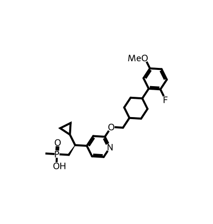 COc1ccc(F)c(C2CCC(COc3cc([C@@H](CP(C)(=O)O)C4CC4)ccn3)CC2)c1